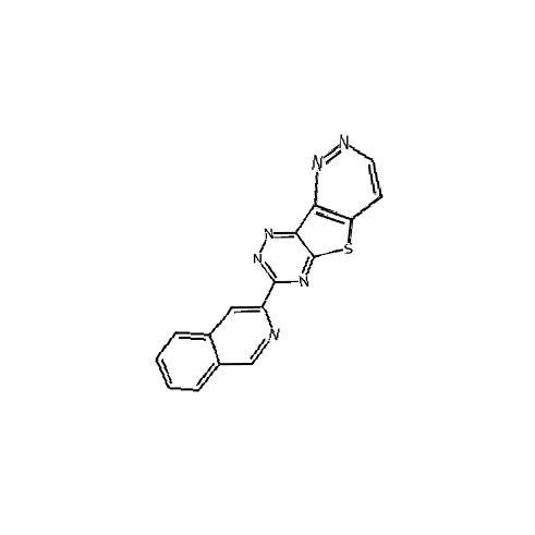 c1ccc2cc(-c3nnc4c(n3)sc3ccnnc34)ncc2c1